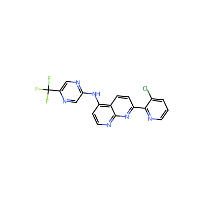 FC(F)(F)c1cnc(Nc2ccnc3nc(-c4ncccc4Cl)ccc23)cn1